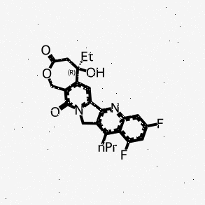 CCCc1c2c(nc3cc(F)cc(F)c13)-c1cc3c(c(=O)n1C2)COC(=O)C[C@]3(O)CC